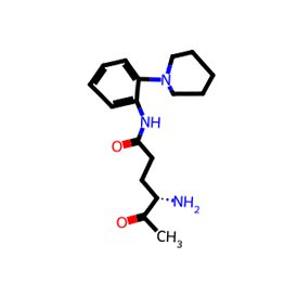 CC(=O)[C@@H](N)CCC(=O)Nc1ccccc1N1CCCCC1